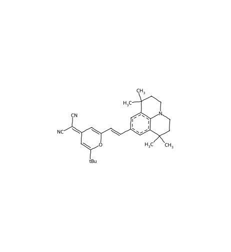 CC(C)(C)C1=CC(=C(C#N)C#N)C=C(C=Cc2cc3c4c(c2)C(C)(C)CCN4CCC3(C)C)O1